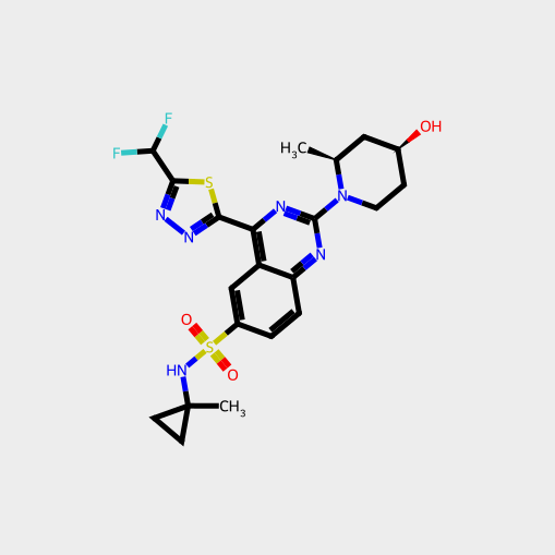 C[C@H]1C[C@@H](O)CCN1c1nc(-c2nnc(C(F)F)s2)c2cc(S(=O)(=O)NC3(C)CC3)ccc2n1